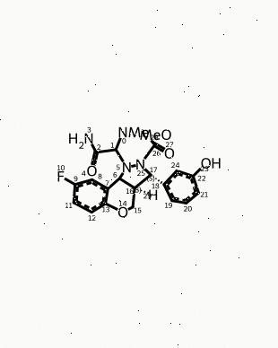 CNC(C(N)=O)N1C2c3cc(F)ccc3OC[C@@H]2[C@@H](c2cccc(O)c2)N1C(=O)OC